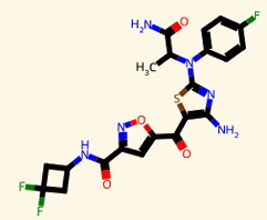 CC(C(N)=O)N(c1ccc(F)cc1)c1nc(N)c(C(=O)c2cc(C(=O)NC3CC(F)(F)C3)no2)s1